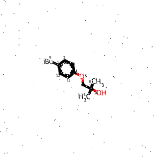 CCC(C)c1ccc(OCC(C)(C)O)cc1